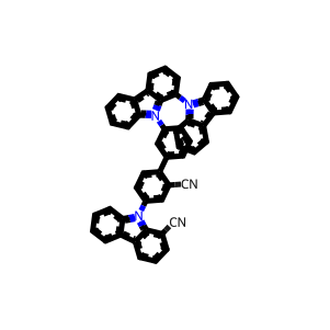 N#Cc1cc(-n2c3ccccc3c3cccc(C#N)c32)ccc1-c1cccc(-n2c3ccccc3c3cccc(-n4c5ccccc5c5ccccc54)c32)c1